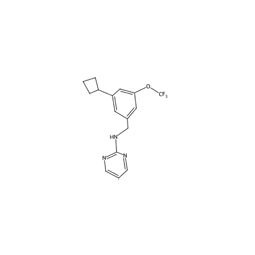 FC(F)(F)Oc1cc(CNc2nc[c]cn2)cc(C2CCC2)c1